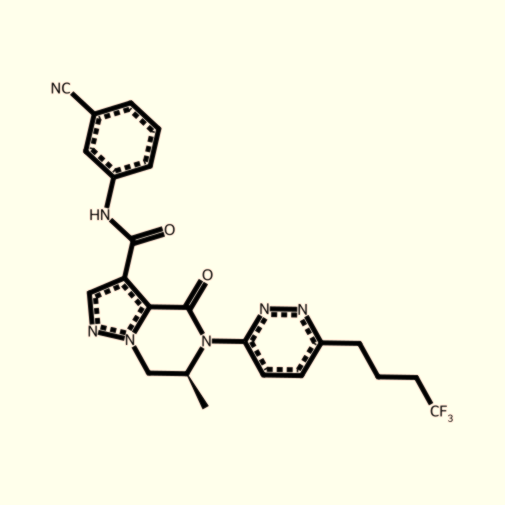 C[C@H]1Cn2ncc(C(=O)Nc3cccc(C#N)c3)c2C(=O)N1c1ccc(CCCC(F)(F)F)nn1